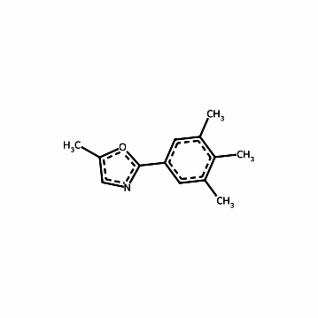 Cc1cnc(-c2cc(C)c(C)c(C)c2)o1